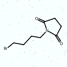 O=C1CCC(=O)N1CCCCBr